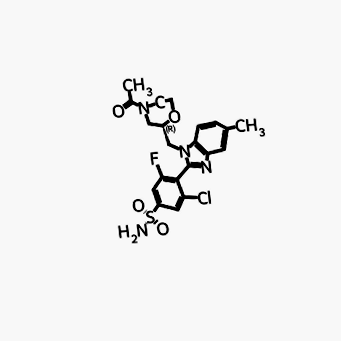 CC(=O)N1CCO[C@@H](Cn2c(-c3c(F)cc(S(N)(=O)=O)cc3Cl)nc3cc(C)ccc32)C1